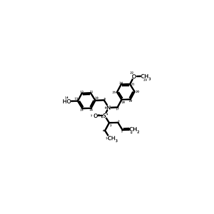 C=CCC(CC)[S+]([O-])N(Cc1ccc(O)cc1)Cc1ccc(OC)cc1